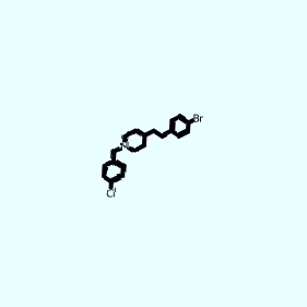 Clc1ccc(CN2CCC(CCc3ccc(Br)cc3)CC2)cc1